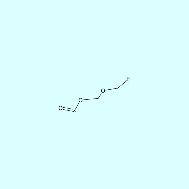 O=[C]OCOCF